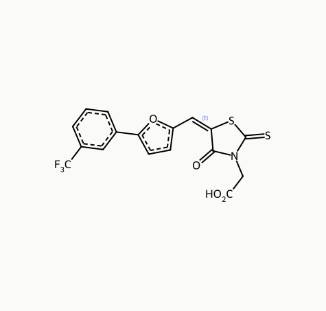 O=C(O)CN1C(=O)/C(=C\c2ccc(-c3cccc(C(F)(F)F)c3)o2)SC1=S